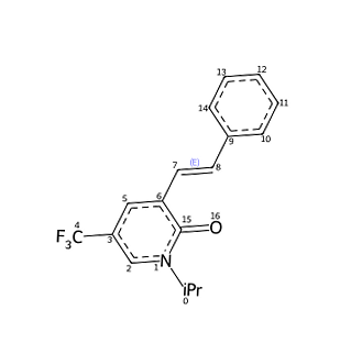 CC(C)n1cc(C(F)(F)F)cc(/C=C/c2ccccc2)c1=O